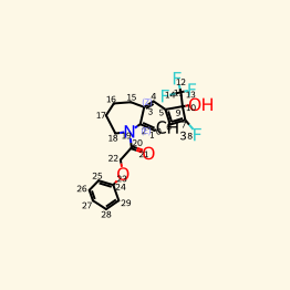 C/C=C1\C(=C/C2=C=C(F)C2(O)C(F)(F)F)CCCCN1C(=O)COc1ccccc1